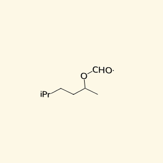 CC(C)CCC(C)O[C]=O